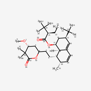 [2H]O[C@@H]1CC(CC[C@@H]2[C@@H]3C(=C[C@H](C([2H])([2H])[2H])C[C@@H]3OC(=O)[C@H](CC)C([2H])([2H])[2H])C=C[C@@H]2C)OC(=O)C1([2H])[2H]